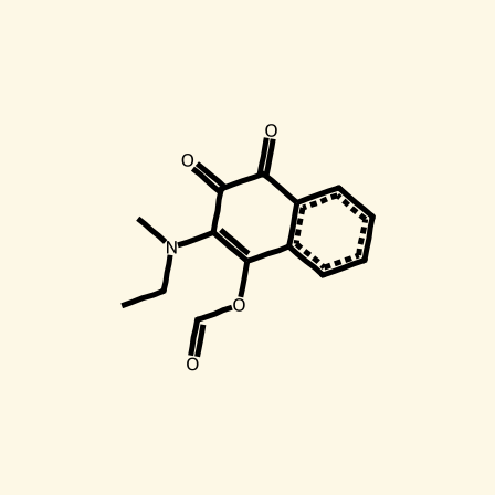 CCN(C)C1=C(OC=O)c2ccccc2C(=O)C1=O